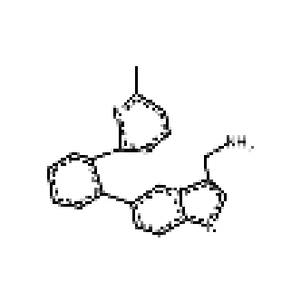 Cc1cccc(-c2ccccc2-c2ccc3ncc(CN)n3c2)n1